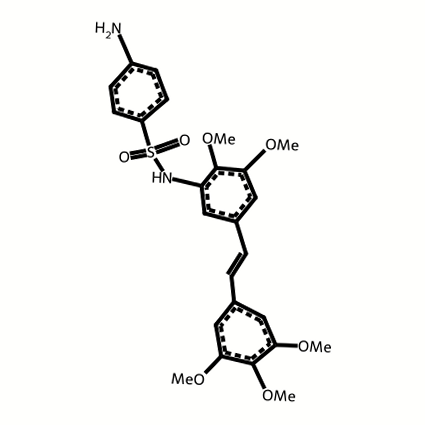 COc1cc(C=Cc2cc(OC)c(OC)c(OC)c2)cc(NS(=O)(=O)c2ccc(N)cc2)c1OC